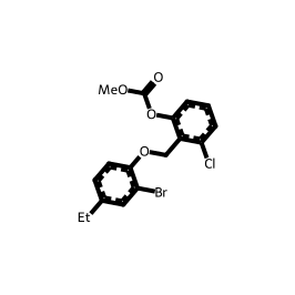 CCc1ccc(OCc2c(Cl)cccc2OC(=O)OC)c(Br)c1